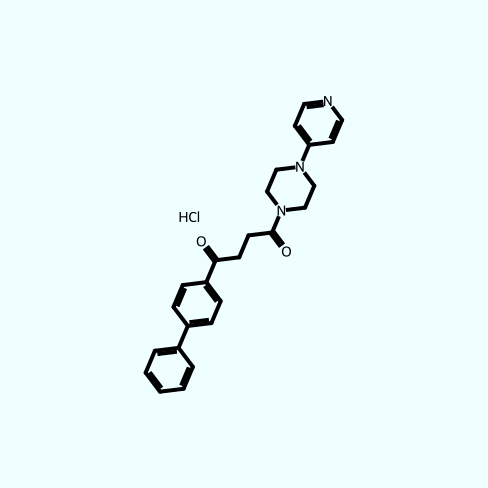 Cl.O=C(CCC(=O)N1CCN(c2ccncc2)CC1)c1ccc(-c2ccccc2)cc1